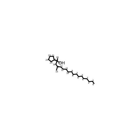 CCCCCCCCCCCCCCC(C)CC(C)(O)C1CCCC1